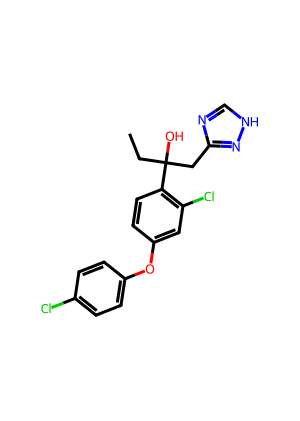 CCC(O)(Cc1nc[nH]n1)c1ccc(Oc2ccc(Cl)cc2)cc1Cl